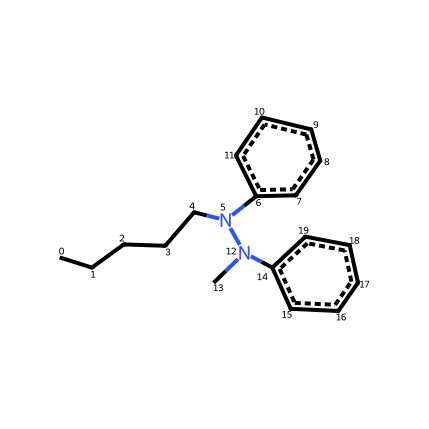 CCCCCN(c1ccccc1)N(C)c1ccccc1